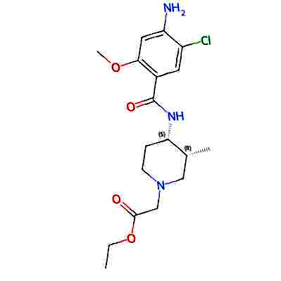 CCOC(=O)CN1CC[C@H](NC(=O)c2cc(Cl)c(N)cc2OC)[C@H](C)C1